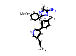 CC#Cc1cncc(-c2ccc(C)c([C@]3([C@]4(C)CC[C@@H](OC)CC4)N=C(C)C(N)=N3)c2)c1